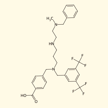 CN(CCNCCCN(Cc1ccc(C(=O)O)cc1)Cc1cc(C(F)(F)F)cc(C(F)(F)F)c1)Cc1ccccc1